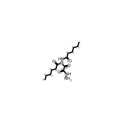 CCCCCC(=O)NN(C(=O)CCCCC)C(=O)C(=O)NN